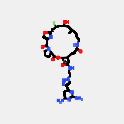 CC1=C\C(O)CC(F)Cc2nc(co2)C(=O)N2CCCC2C(=O)OC(C(C)C)C(CC(=O)NCCn2cc(-c3cc(N)nc(N)n3)nn2)/C=C/C(=O)NC\C=C\1